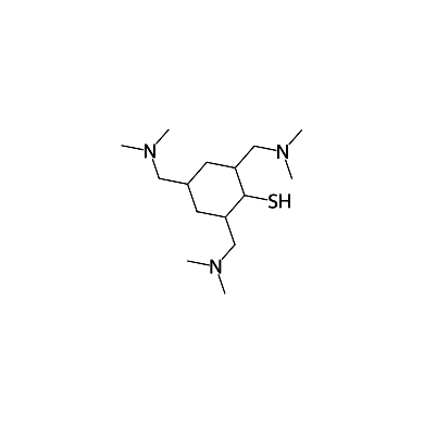 CN(C)CC1CC(CN(C)C)C(S)C(CN(C)C)C1